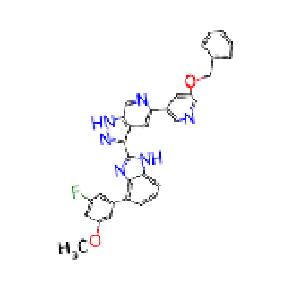 COc1cc(F)cc(-c2cccc3[nH]c(-c4n[nH]c5cnc(-c6cncc(OCc7ccccc7)c6)cc45)nc23)c1